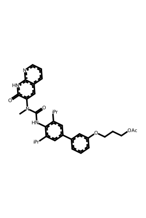 CC(=O)OCCCOc1cccc(-c2cc(C(C)C)c(NC(=O)N(C)c3cc4cccnc4[nH]c3=O)c(C(C)C)c2)c1